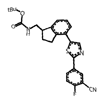 CC(C)(C)OC(=O)NCC1CCc2c(-c3cnc(-c4ccc(F)c(C#N)c4)s3)cccc21